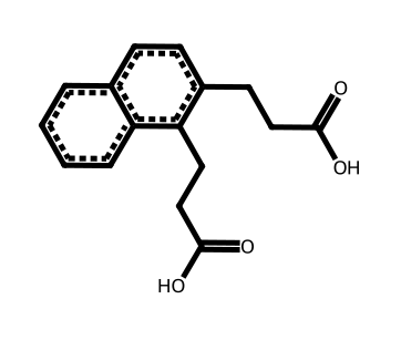 O=C(O)CCc1ccc2ccccc2c1CCC(=O)O